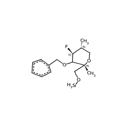 C[C@@H]1CO[C@](C)(CO[SiH3])C(OCc2ccccc2)[C@H]1F